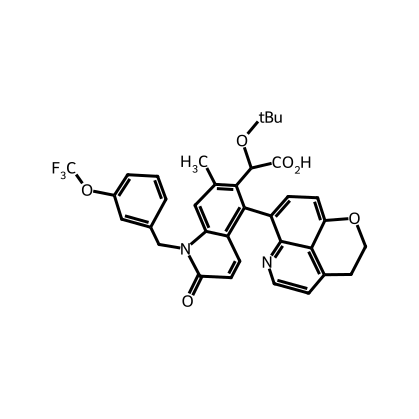 Cc1cc2c(ccc(=O)n2Cc2cccc(OC(F)(F)F)c2)c(-c2ccc3c4c(ccnc24)CCO3)c1C(OC(C)(C)C)C(=O)O